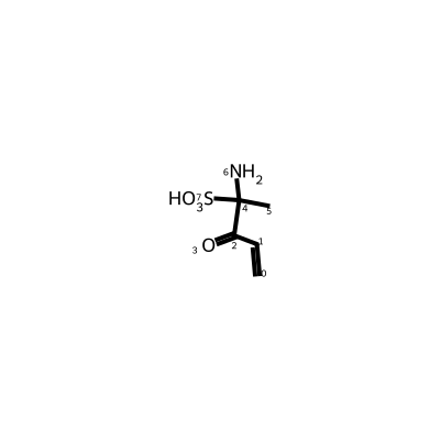 C=CC(=O)C(C)(N)S(=O)(=O)O